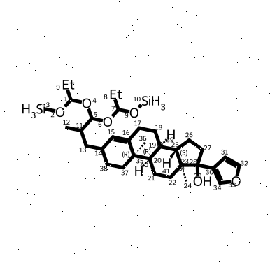 CCC(O[SiH3])OC(OC(CC)O[SiH3])C(C)CC1C=C2CC[C@@H]3[C@@H](CC[C@@]4(C)[C@H]3CCC4(O)c3ccoc3)[C@@]2(C)CC1